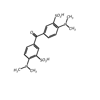 CN(C)c1ccc(C(=O)c2ccc(N(C)C)c(S(=O)(=O)O)c2)cc1S(=O)(=O)O